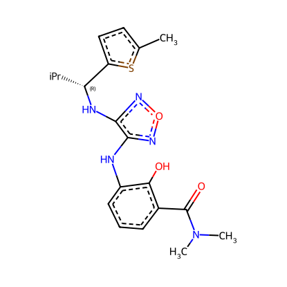 Cc1ccc([C@H](Nc2nonc2Nc2cccc(C(=O)N(C)C)c2O)C(C)C)s1